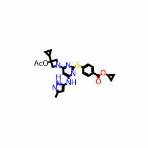 CC(=O)OC1(C2CC2)CN(c2cc(Nc3cc(C)n[nH]3)nc(Sc3ccc(C(=O)OC4CC4)cc3)n2)C1